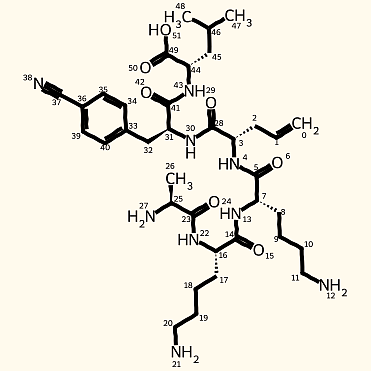 C=CC[C@H](NC(=O)[C@H](CCCCN)NC(=O)[C@H](CCCCN)NC(=O)[C@H](C)N)C(=O)N[C@@H](Cc1ccc(C#N)cc1)C(=O)N[C@@H](CC(C)C)C(=O)O